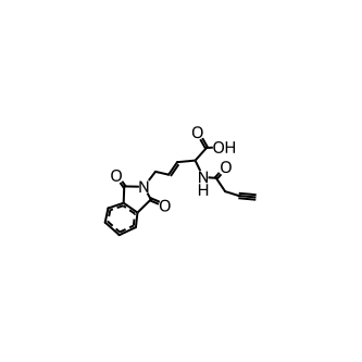 C#CCC(=O)NC(C=CCN1C(=O)c2ccccc2C1=O)C(=O)O